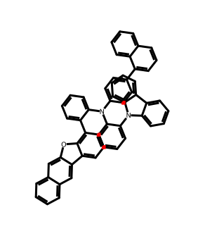 c1ccc(N(c2ccc(-c3cccc4ccccc34)cc2)c2ccccc2-n2c3ccccc3c3ccccc32)c(-c2cccc3c2oc2cc4ccccc4cc23)c1